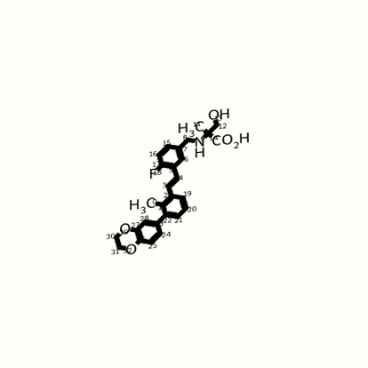 Cc1c(/C=C/c2cc(CNC(C)(CO)C(=O)O)ccc2F)cccc1-c1ccc2c(c1)OCCO2